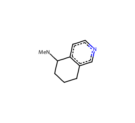 CNC1CCCc2cnccc21